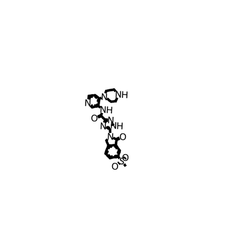 CS(=O)(=O)c1ccc2c(c1)C(=O)N(c1nc(C(=O)Nc3cnccc3N3CCNCC3)n[nH]1)C2